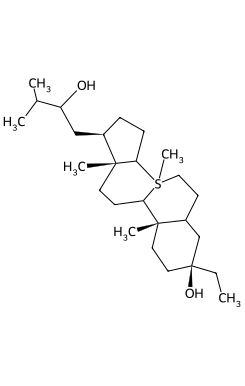 CC[C@]1(O)CC[C@@]2(C)C(CCS3(C)C2CC[C@@]2(C)C3CC[C@@H]2CC(O)C(C)C)C1